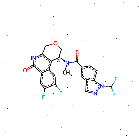 CN(C(=O)c1ccc2c(cnn2C(F)F)c1)[C@@H]1COCc2[nH]c(=O)c3cc(F)c(F)cc3c21